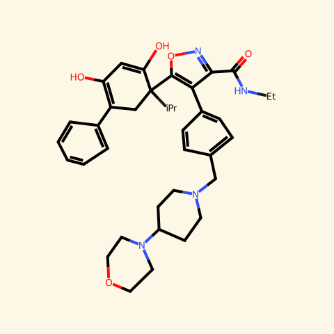 CCNC(=O)c1noc(C2(C(C)C)CC(c3ccccc3)=C(O)C=C2O)c1-c1ccc(CN2CCC(N3CCOCC3)CC2)cc1